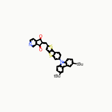 CC(C)(C)c1ccc2c(c1)c1cc(C(C)(C)C)ccc1n2-c1ccc2c(c1)sc1cc(/C=C3/C(=O)c4ccncc4C3=O)sc12